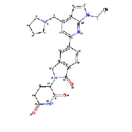 N#CCn1ccc2c(CN3CCCC3)cc(-c3ccc4c(c3)CN(C3CCC(=O)NC3=O)C4=O)nc21